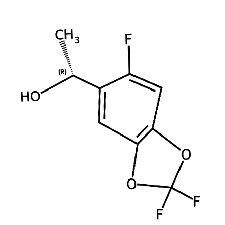 C[C@@H](O)c1cc2c(cc1F)OC(F)(F)O2